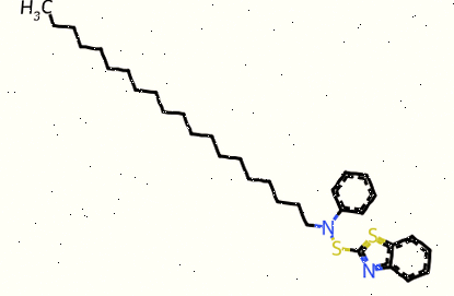 CCCCCCCCCCCCCCCCCCCCN(Sc1nc2ccccc2s1)c1ccccc1